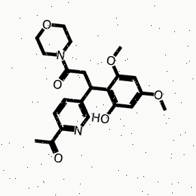 COc1cc(O)c(C(CC(=O)N2CCOCC2)c2ccc(C(C)=O)nc2)c(OC)c1